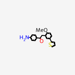 COc1ccc(-c2cccs2)cc1CC(=O)c1ccc(N)cc1